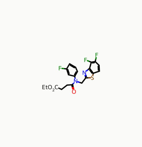 CCOC(=O)CCC(=O)N(Cc1nc2c(F)c(F)ccc2s1)c1cccc(F)c1